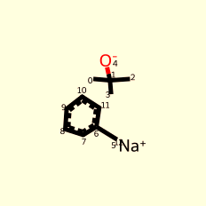 CC(C)(C)[O-].Cc1ccccc1.[Na+]